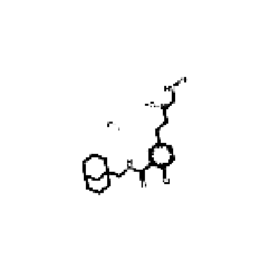 CCNC[C@@H](O)CCc1ccc(Cl)c(C(=O)NCC23CCCC(CCC2)C3)c1.[CH2]